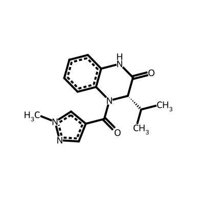 CC(C)[C@H]1C(=O)Nc2ccccc2N1C(=O)c1cnn(C)c1